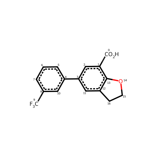 O=C(O)c1cc(-c2cccc(C(F)(F)F)c2)cc2c1OCC2